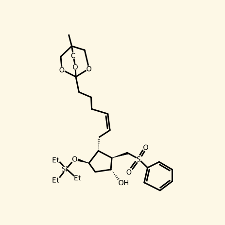 CC[Si](CC)(CC)O[C@@H]1C[C@@H](O)[C@H](CS(=O)(=O)c2ccccc2)[C@H]1C/C=C\CCCC12OCC(C)(CO1)CO2